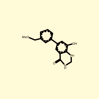 COCc1cccc(-c2cc(O)c3c(c2)C(=O)NCP3)c1